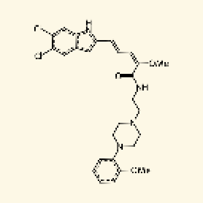 COC(=CC=Cc1cc2cc(Cl)c(Cl)cc2[nH]1)C(=O)NCCN1CCN(c2ccccc2OC)CC1